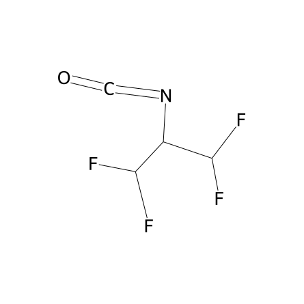 O=C=NC(C(F)F)C(F)F